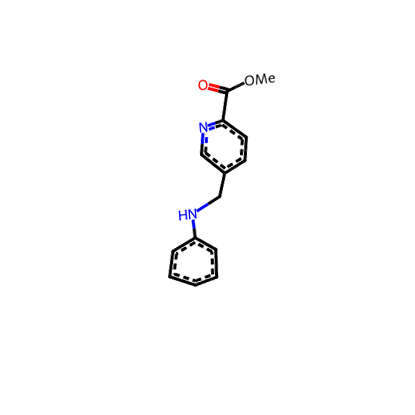 COC(=O)c1ccc(CNc2ccccc2)cn1